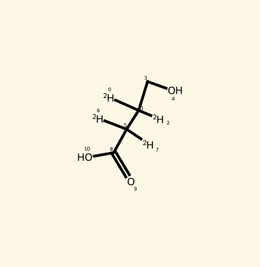 [2H]C([2H])(CO)C([2H])([2H])C(=O)O